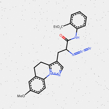 CCOC(=O)c1ccccc1NC(=O)C(Cc1cnn2c1CCc1cc(OC)ccc1-2)N=[N+]=[N-]